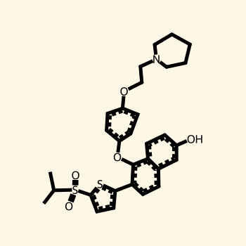 CC(C)S(=O)(=O)c1ccc(-c2ccc3cc(O)ccc3c2Oc2ccc(OCCN3CCCCC3)cc2)s1